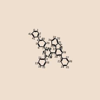 c1ccc(-c2ccc(-c3nc(-c4ccccc4)nc(-c4cc(-c5ccccc5)cc5sc6ccccc6c45)n3)cc2)cc1